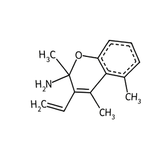 C=CC1=C(C)c2c(C)cccc2OC1(C)N